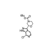 CC(C)(C)OC(=O)N1CCOC(c2n[nH]c3c(Cl)nccc23)C1